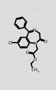 CCOC(=O)CN1C(=O)CN=C(c2ccccc2)c2cc(Cl)ccc21